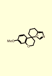 COc1ccc2c(c1)OCCC21CCCC2=CN=C[N+]21